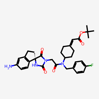 CC(C)(C)OC(=O)C=C1CCC(N(Cc2ccc(F)cc2)C(=O)CN2C(=O)N[C@]3(CCc4cc(N)ccc43)C2=O)CC1